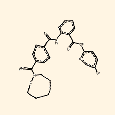 N=C(c1ccc(C(=O)Nc2ccccc2C(=O)Nc2ccc(Br)cn2)cc1)N1CCCCCCC1